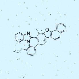 CCCc1cccc(CCC)c1-n1c(-c2ccc3c(oc4c5ccccc5ccc34)c2C)nc2ccccc21